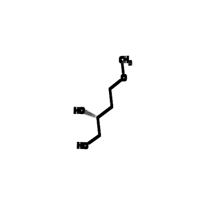 COCC[C@@H](O)CO